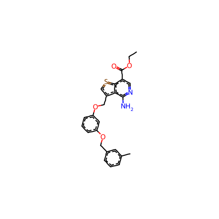 CCOC(=O)c1cnc(N)c2c(COc3cccc(OCc4cccc(C)c4)c3)csc12